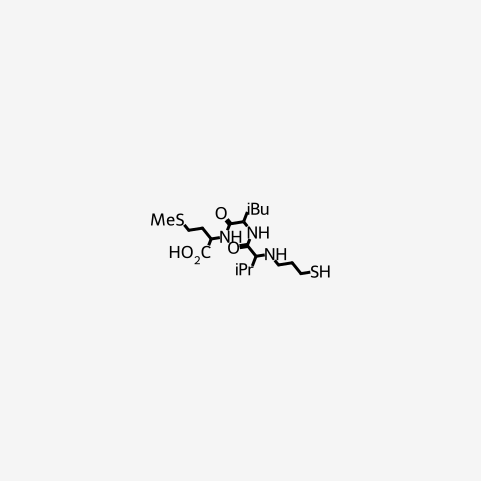 CCC(C)C(NC(=O)C(NCCCS)C(C)C)C(=O)NC(CCSC)C(=O)O